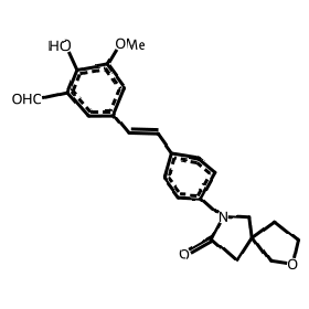 COc1cc(/C=C/c2ccc(N3CC4(CCOC4)CC3=O)cc2)cc(C=O)c1O